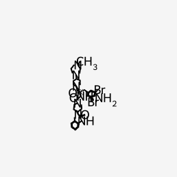 CN1CCCN(C2CCN(C(=O)[C@@H](Cc3cc(Br)c(N)c(Br)c3)NC(=O)N3CCC(N4Cc5ccccc5NC4=O)CC3)CC2)CC1